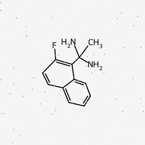 CC(N)(N)c1c(F)ccc2ccccc12